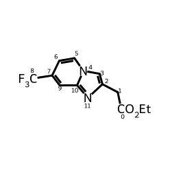 CCOC(=O)Cc1cn2ccc(C(F)(F)F)cc2n1